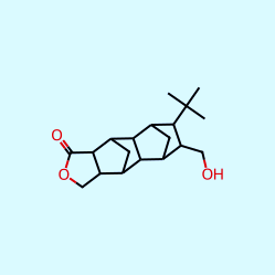 CC(C)(C)C1C(CO)C2CC1C1C3CC(C4COC(=O)C43)C21